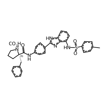 Cc1ccc(S(=O)(=O)Nc2cccc3[nH]c(-c4ccc(NC(=O)[C@@]5(Cc6ccccc6)CCCN5C(=O)O)cc4)nc23)cc1